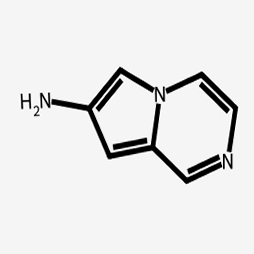 Nc1cc2cnccn2c1